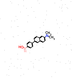 CN(C)c1ccc2cc(-c3ccc(BO)cc3)ccc2c1